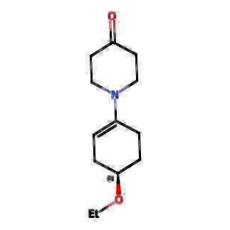 CCO[C@H]1CC=C(N2CCC(=O)CC2)CC1